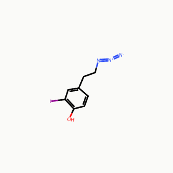 [N-]=[N+]=NCCc1ccc(O)c(I)c1